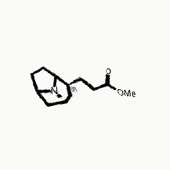 COC(=O)CC[C@H]1CCC2CCC1N2C